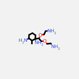 CC1C(N)CCCC1(N)C(COCCN)OCCN